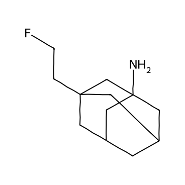 NC12CC3CC(C1)CC(CCF)(C3)C2